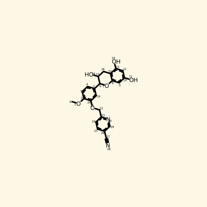 COc1ccc(C2Oc3cc(O)cc(O)c3CC2O)cc1OCc1ccc(C#N)cn1